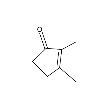 CC1=C(C)C(=O)CC1